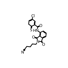 N#CCCCCN1C(=O)c2cccc(NC(=O)C3=CC(Cl)=CCC3=S)c2C1=O